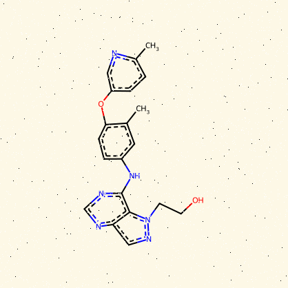 Cc1ccc(Oc2ccc(Nc3ncnc4cnn(CCO)c34)cc2C)cn1